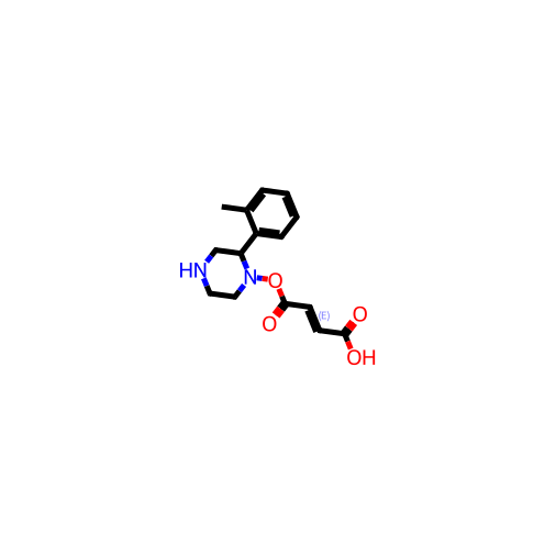 Cc1ccccc1C1CNCCN1OC(=O)/C=C/C(=O)O